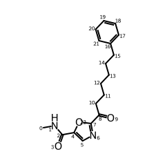 CNC(=O)c1cnc(C(=O)CCCCCCc2ccccc2)o1